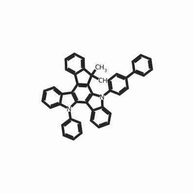 CC1(C)c2ccccc2-c2c1c1c(c3ccccc3n1-c1ccc(-c3ccccc3)cc1)c1c2c2ccccc2n1-c1ccccc1